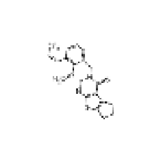 C=Nc1c(/C=C\C)cccc1Cn1cnc2sc3c(c2c1=O)CCC3